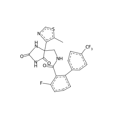 Cc1scnc1C1(CNC(=O)c2c(F)cccc2-c2ccc(C(F)(F)F)cc2)NC(=O)NC1=O